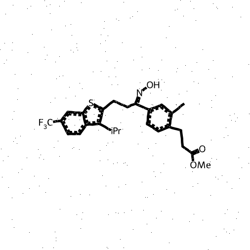 COC(=O)CCc1ccc(C(CCc2sc3cc(C(F)(F)F)ccc3c2C(C)C)=NO)cc1C